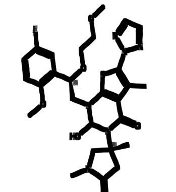 COCCO[C@@H](CN1c2sc(-n3nccn3)c(C)c2C(=O)N([C@]2(C)CC(=O)N(C)C2)C1O)c1cc(F)ccc1OC